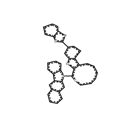 c1cccc(-n2c3ccccc3c3cc4ccccc4cc32)c2oc3cc(-c4nc5ccccc5o4)ccc3c2ccc1